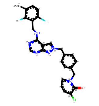 COc1ccc(F)c(CNc2ncnc3nn(Cc4ccc(Cn5cccc(Cl)c5=O)cc4)cc23)c1F